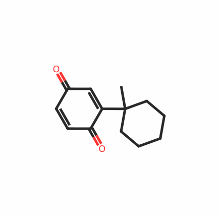 CC1(C2=CC(=O)C=CC2=O)CCCCC1